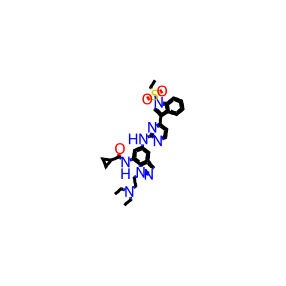 CCN(CC)CCn1ncc2cc(Nc3nccc(-c4cn(S(=O)(=O)CC)c5ccccc45)n3)cc(NC(=O)C3CC3)c21